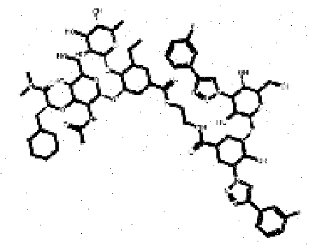 CCC1CC(C(=O)NCCNC(=O)C2CC(n3cc(-c4cccc(F)c4)nn3)C(O)[C@H](O[C@@H]3OC(CO)[C@H](O)C(n4cc(-c5cccc(F)c5)nn4)C3O)C2)C[C@@H](O[C@@H]2OC(CO)[C@H](O)C(O[C@@H](CC3CCCCC3)C(=O)N(C)C)C2NC(C)=O)C1O[C@@H]1OC(C)[C@@H](O)C(O)C1O